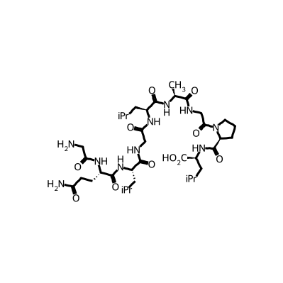 CC(C)C[C@H](NC(=O)[C@@H]1CCCN1C(=O)CNC(=O)[C@H](C)NC(=O)[C@H](CC(C)C)NC(=O)CNC(=O)[C@H](CC(C)C)NC(=O)[C@H](CCC(N)=O)NC(=O)CN)C(=O)O